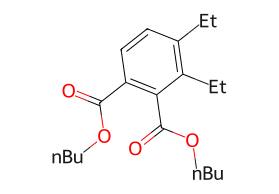 CCCCOC(=O)c1ccc(CC)c(CC)c1C(=O)OCCCC